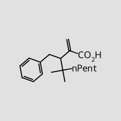 C=C(C(=O)O)C(Cc1ccccc1)C(C)(C)CCCCC